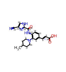 CC1CCN(c2cc(/C=C/C(=O)O)ccc2NC(=O)c2nc(C#N)c[nH]2)CC1